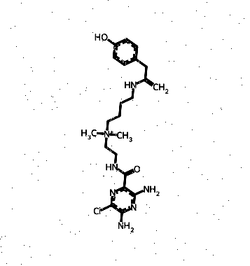 C=C(Cc1ccc(O)cc1)NCCCC[N+](C)(C)CCNC(=O)c1nc(Cl)c(N)nc1N